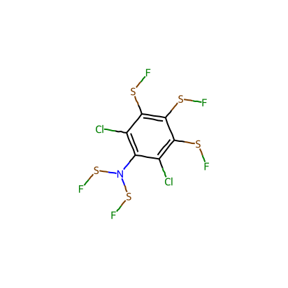 FSc1c(Cl)c(N(SF)SF)c(Cl)c(SF)c1SF